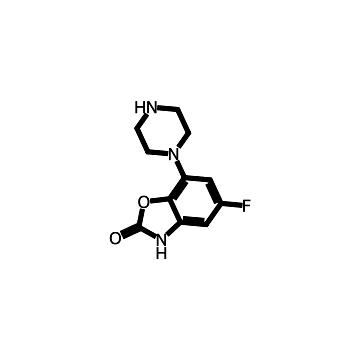 O=c1[nH]c2cc(F)cc(N3CCNCC3)c2o1